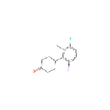 Cc1c(F)ccc(I)c1C1CCC(=O)CC1